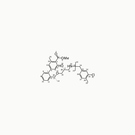 COC(=O)c1ccc(-c2ccccc2[C@@H](C)OC[C@H](O)CNC(C)(C)Cc2ccc(C)c(Cl)c2)cc1C